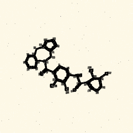 O=C(Nc1ccc(C(=O)N2Cc3cccn3Cc3ccccc32)c(Cl)c1Cl)c1cccc(Cl)c1Cl